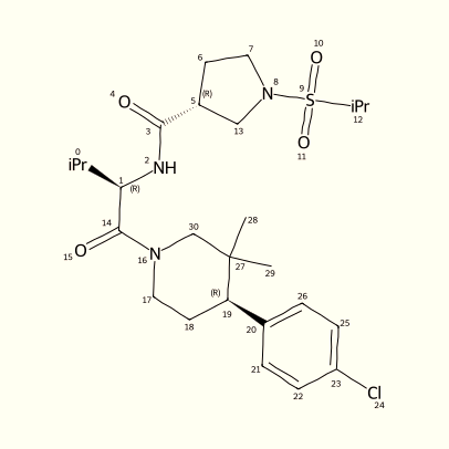 CC(C)[C@@H](NC(=O)[C@@H]1CCN(S(=O)(=O)C(C)C)C1)C(=O)N1CC[C@H](c2ccc(Cl)cc2)C(C)(C)C1